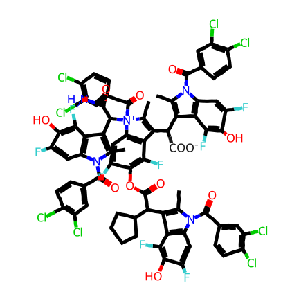 CC1=C(C(C(=O)[O-])c2c(C)n(C(=O)c3ccc(Cl)c(Cl)c3)c3cc(F)c(O)c(F)c23)c2c(cc(F)c(OC(=O)C(c3c(C)n(C(=O)c4ccc(Cl)c(Cl)c4)c4cc(F)c(O)c(F)c34)C3CCCC3)c2F)[N+]1(C(=O)c1ccc(Cl)c(Cl)c1)C(C(N)=O)c1c(C)n(C(=O)c2ccc(Cl)c(Cl)c2)c2cc(F)c(O)c(F)c12